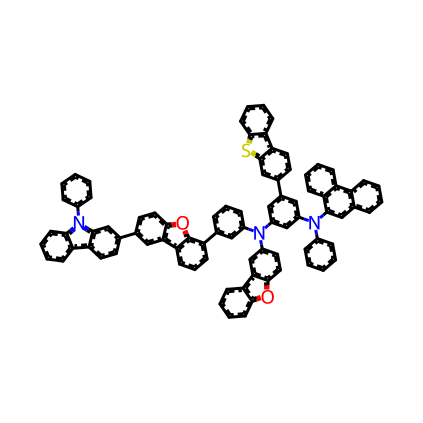 c1ccc(N(c2cc(-c3ccc4c(c3)sc3ccccc34)cc(N(c3cccc(-c4cccc5c4oc4ccc(-c6ccc7c8ccccc8n(-c8ccccc8)c7c6)cc45)c3)c3ccc4oc5ccccc5c4c3)c2)c2cc3ccccc3c3ccccc23)cc1